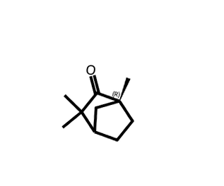 CC1(C)C(=O)[C@]2(C)CCC1C2